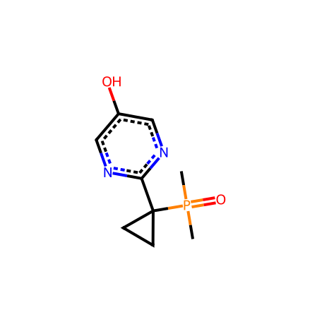 CP(C)(=O)C1(c2ncc(O)cn2)CC1